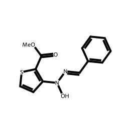 COC(=O)c1sccc1N(O)N=Cc1ccccc1